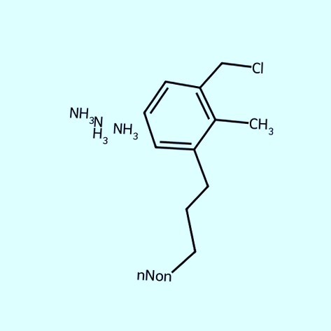 CCCCCCCCCCCCc1cccc(CCl)c1C.N.N.N